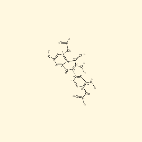 COc1cc(OC(C)=O)c2c(=O)c(OC)c(-c3ccc(OC(C)=O)c(OC)c3)oc2c1